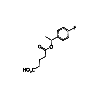 CC(OC(=O)CCCC(=O)O)c1ccc(F)cc1